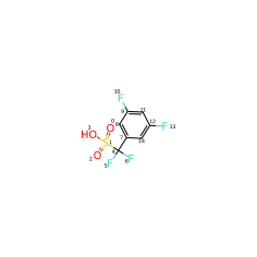 O=S(=O)(O)C(F)(F)c1cc(F)cc(F)c1